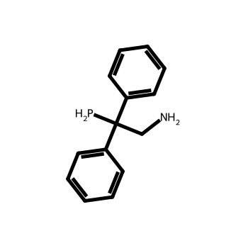 NCC(P)(c1ccccc1)c1ccccc1